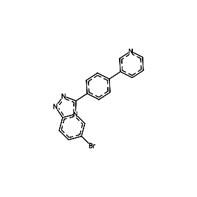 Brc1ccc2nnc(-c3ccc(-c4cccnc4)cc3)n2c1